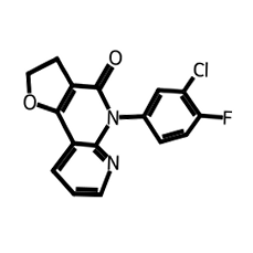 O=c1c2c(c3cccnc3n1-c1ccc(F)c(Cl)c1)OCC2